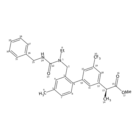 CCN(Cc1cc(C)ccc1-c1cc([C@H](C)C(=O)OC)cc(C(F)(F)F)c1)C(=O)NCc1ccccc1